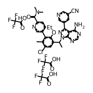 CCOc1c(C(C)n2nc(-c3cncc(C#N)c3)c3c(N)ncnc32)cc(Cl)c(C)c1-c1ccc(C(=O)N(C)C)nc1.O=C(O)C(F)(F)F.O=C(O)C(F)(F)F.O=C(O)C(F)(F)F